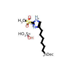 CCCCCCCCCCCCCCCCc1c[nH]c(S(C)(=O)=O)n1.O=S(=O)(O)O